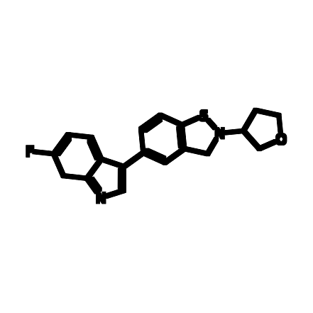 FC1=CC=C2C(c3ccc4c(c3)CN(C3CCOC3)S4)=CN=C2C1